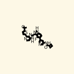 CC(=O)c1ccc(-c2nccc3[nH]c(-c4n[nH]c5ccc(-c6cncc(NC(=O)C7CCC7)c6)c(F)c45)nc23)s1